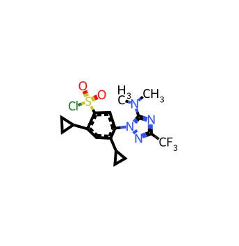 CN(C)c1nc(C(F)(F)F)nn1-c1cc(S(=O)(=O)Cl)c(C2CC2)cc1C1CC1